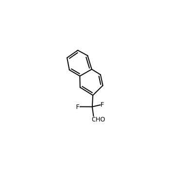 O=CC(F)(F)c1ccc2ccccc2c1